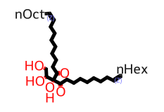 CCCCCC/C=C\CCCCCCCC(=O)C(O)(C(=O)CCCCCCC/C=C\CCCCCCCC)C(O)CO